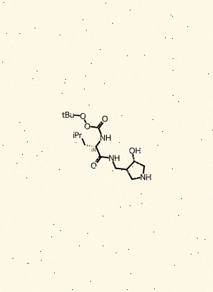 CC(C)C[C@H](NC(=O)OOC(C)(C)C)C(=O)NCC1CNCC1O